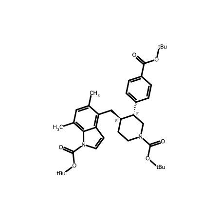 Cc1cc(C)c2c(ccn2C(=O)OC(C)(C)C)c1C[C@@H]1CCN(C(=O)OC(C)(C)C)C[C@H]1c1ccc(C(=O)OC(C)(C)C)cc1